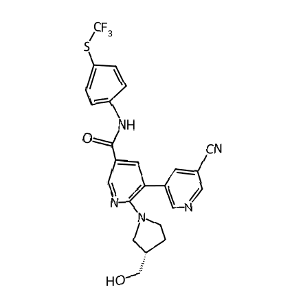 N#Cc1cncc(-c2cc(C(=O)Nc3ccc(SC(F)(F)F)cc3)cnc2N2CC[C@H](CO)C2)c1